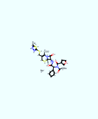 CNC(=O)N(C(=O)c1ccoc1)C(C(=O)NC1C(=O)N2C(C(=O)[O-])=C(CSc3nnc(C)s3)CS[C@@H]12)c1ccccc1.[Na+]